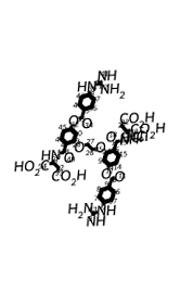 Cl.Cl.N=C(N)Nc1ccc(C(=O)Oc2ccc(C(=O)NC(CC(=O)O)C(=O)O)c(OCCOc3cc(OC(=O)c4ccc(NC(=N)N)cc4)ccc3C(=O)NC(CC(=O)O)C(=O)O)c2)cc1